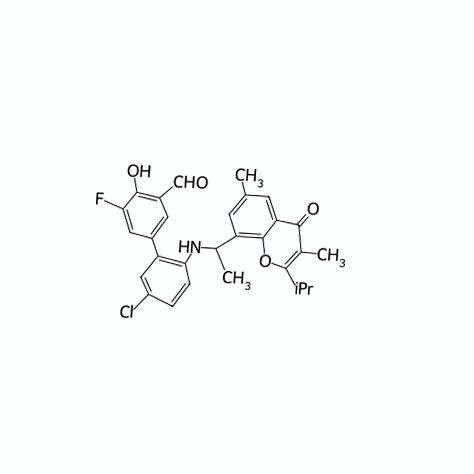 Cc1cc(C(C)Nc2ccc(Cl)cc2-c2cc(F)c(O)c(C=O)c2)c2oc(C(C)C)c(C)c(=O)c2c1